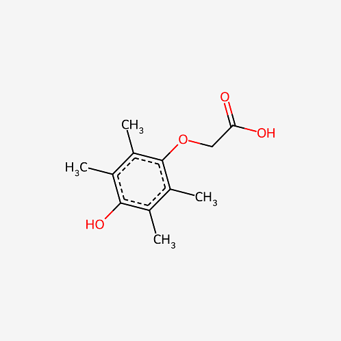 Cc1c(C)c(OCC(=O)O)c(C)c(C)c1O